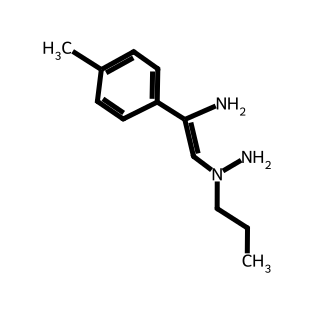 CCCN(N)/C=C(\N)c1ccc(C)cc1